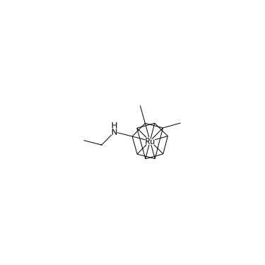 CCN[C]12[CH]3[CH]4[C]5(C)[C]1(C)[Ru]43521678[CH]2[CH]1[CH]6[CH]7[CH]28